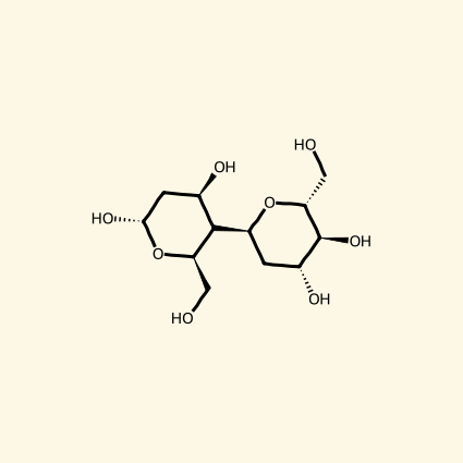 OC[C@H]1O[C@H](O)C[C@@H](O)C1[C@@H]1C[C@@H](O)[C@H](O)[C@@H](CO)O1